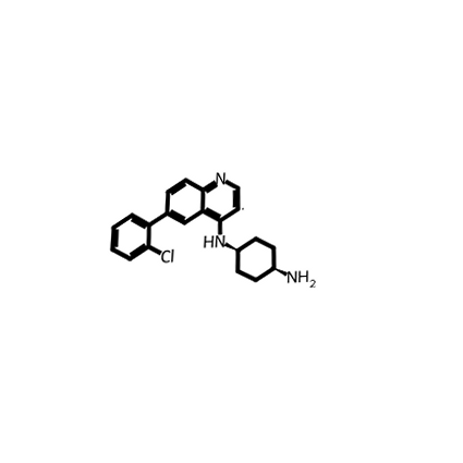 N[C@H]1CC[C@@H](Nc2[c]cnc3ccc(-c4ccccc4Cl)cc23)CC1